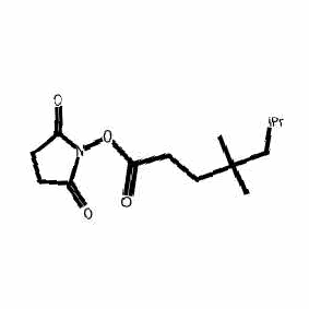 CC(C)CC(C)(C)CCC(=O)ON1C(=O)CCC1=O